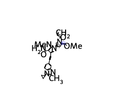 C=CC(=O)N1C[C@@H](n2cc(C#Cc3ccc4c(c3)nc(C)n4C3CC3)c(C(N)=O)c2NC)C/C1=C\OC